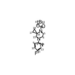 CC(C)(C)OC(=O)N1CCN(c2ccc(F)cn2)CC12CC2